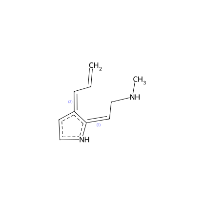 C=C/C=c1/cc[nH]/c1=C/CNC